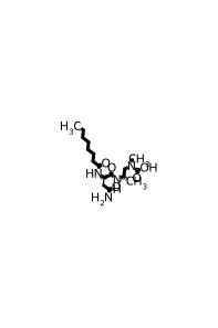 CCCCCCCC(=O)N[C@H](CC(N)=O)C(=O)N[C@@H](C)CN(C)C(=O)O